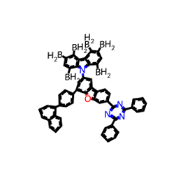 Bc1cc(B)c2c(c1B)c1c(B)c(B)cc(B)c1n2-c1cc(-c2ccc(-c3cccc4ccccc34)cc2)c2oc3cc(-c4nc(-c5ccccc5)nc(-c5ccccc5)n4)ccc3c2c1